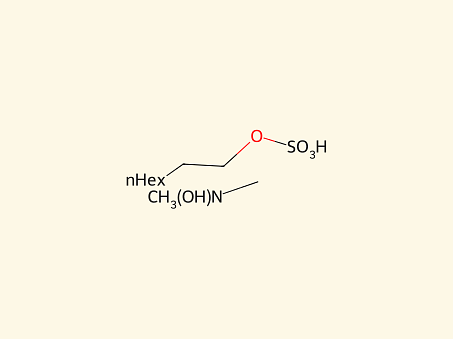 CCCCCCCCOS(=O)(=O)O.CN(C)O